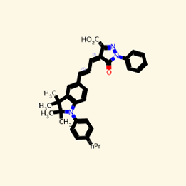 CCCc1ccc(N2c3ccc(/C=C/C=C4\C(=O)N(c5ccccc5)N=C4C(=O)O)cc3C(C)(C)C2(C)C)cc1